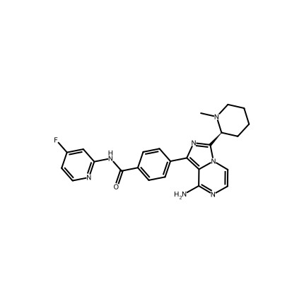 CN1CCCC[C@H]1c1nc(-c2ccc(C(=O)Nc3cc(F)ccn3)cc2)c2c(N)nccn12